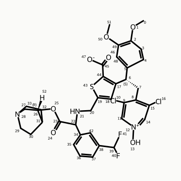 COc1ccc([C@H](Cc2c(Cl)c[n+](O)cc2Cl)c2cc(CNC(C(=O)O[C@H]3CN4CCC3CC4)c3cccc(C(F)F)c3)sc2C(=O)[O-])cc1OC